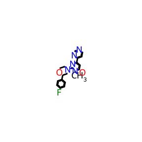 Cn1c(N2CCOC(c3ccc(F)cc3)C2)nc(-c2ccncn2)cc1=O